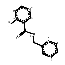 O=C(NCc1cnccn1)c1cnccc1C(F)(F)F